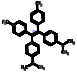 CN(C)c1ccc(/C(=C(\c2ccc(N(C)C)cc2)c2ccc(C(F)(F)F)cc2)c2ccc(C(F)(F)F)cc2)cc1